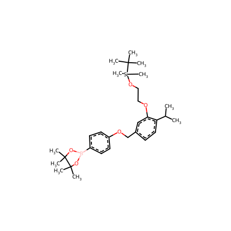 CC(C)c1ccc(COc2ccc(B3OC(C)(C)C(C)(C)O3)cc2)cc1OCCO[Si](C)(C)C(C)(C)C